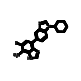 O=[N+]([O-])c1c(F)cc(-c2ccc3c(c2)ncn3C2CCCCC2)c2nc[nH]c12